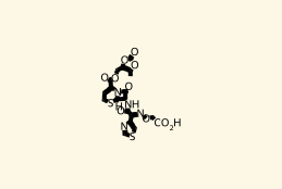 Cc1oc(=O)oc1COC(=O)C1=CCS[C@H]2C(NC(=O)C(=NOCC(=O)O)c3cscn3)C(=O)N12